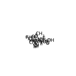 CCOC(=O)C1=C(CN2CC(F)C(OCC(=O)O)C(F)C2)NC(c2nccs2)=N[C@H]1c1ccc(F)cc1Cl